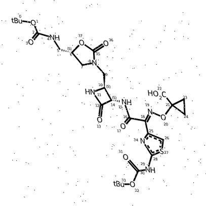 CC(C)(C)OC(=O)NC[C@H]1CN(C[C@@H]2NC(=O)[C@H]2NC(=O)C(=NOC2(C(=O)O)CC2)c2csc(NC(=O)OC(C)(C)C)n2)C(=O)O1